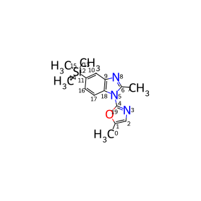 Cc1cnc(-n2c(C)nc3cc([Si](C)(C)C)ccc32)o1